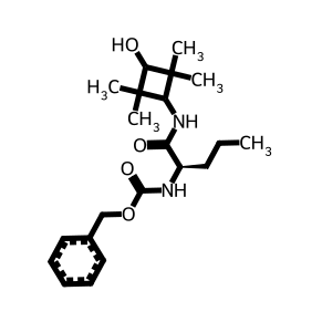 CCC[C@@H](NC(=O)OCc1ccccc1)C(=O)NC1C(C)(C)C(O)C1(C)C